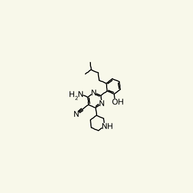 CC(C)CCc1cccc(O)c1-c1nc(N)c(C#N)c(C2CCCNC2)n1